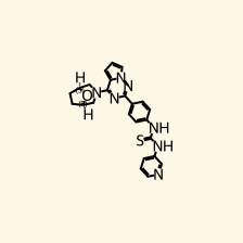 S=C(Nc1ccc(-c2nc(N3C[C@H]4CC[C@@H](C3)O4)c3cccn3n2)cc1)Nc1cccnc1